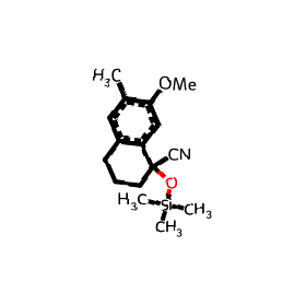 COc1cc2c(cc1C)CCCC2(C#N)O[Si](C)(C)C